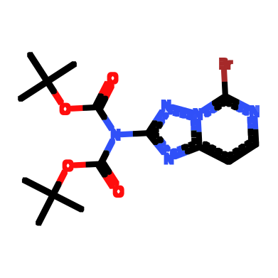 CC(C)(C)OC(=O)N(C(=O)OC(C)(C)C)c1nc2ccnc(Br)n2n1